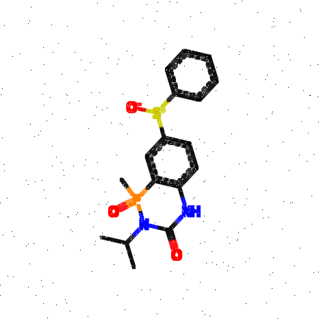 CC(C)N1C(=O)Nc2ccc([S+]([O-])c3ccccc3)cc2P1(C)=O